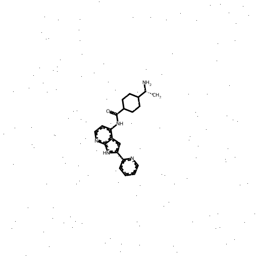 C[C@@H](N)C1CCC(C(=O)Nc2ccnc3[nH]c(-c4ccccn4)cc23)CC1